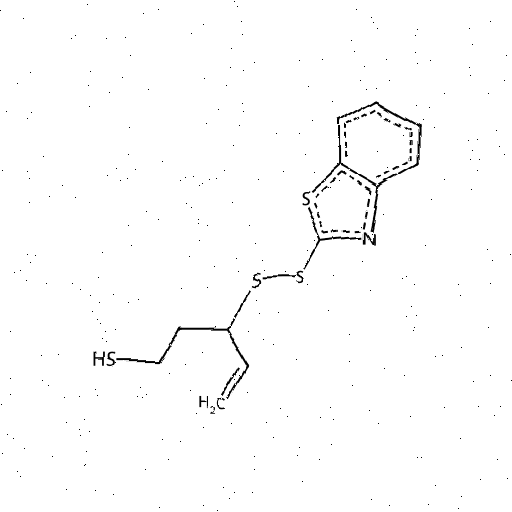 C=CC(CCS)SSc1nc2ccccc2s1